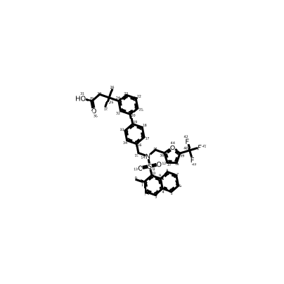 Cc1ccc2ccccc2c1S(=O)(=O)N(Cc1ccc(-c2cccc(C(C)(C)CC(=O)O)c2)cc1)Cc1ccc(C(F)(F)F)o1